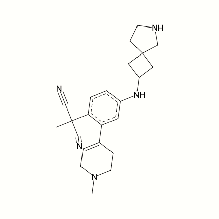 CN1CC=C(c2cc(NC3CC4(CCNC4)C3)ccc2C(C)(C#N)C#N)CC1